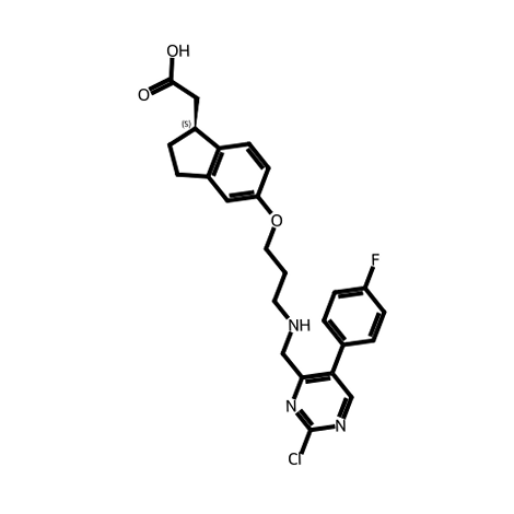 O=C(O)C[C@@H]1CCc2cc(OCCCNCc3nc(Cl)ncc3-c3ccc(F)cc3)ccc21